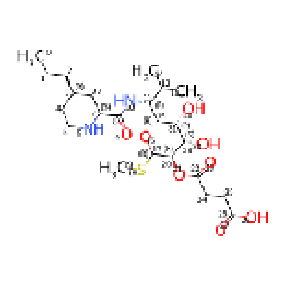 CCC[C@@H]1CCN[C@H](C(=O)N[C@H](C(C)C)[C@H]2O[C@H](SC)[C@H](OC(=O)CCC(=O)O)[C@@H](O)[C@H]2O)C1